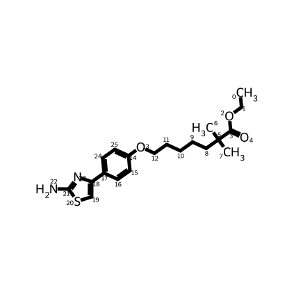 CCOC(=O)C(C)(C)CCCCCOc1ccc(-c2csc(N)n2)cc1